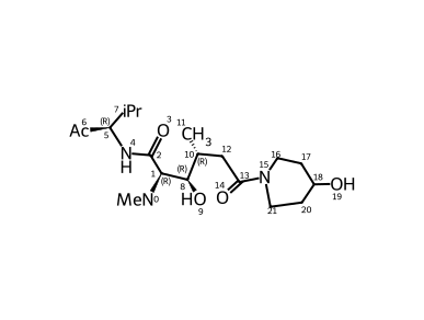 CN[C@@H](C(=O)N[C@@H](C(C)=O)C(C)C)[C@H](O)[C@H](C)CC(=O)N1CCC(O)CC1